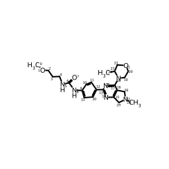 COCCCNC(=O)Nc1ccc(-c2nc3c(c(N4CCOCC4C)n2)CN(C)C3)cc1